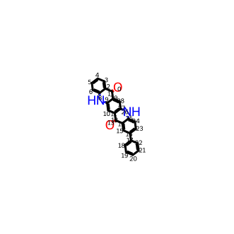 O=c1c2ccccc2[nH]c2cc3c(=O)c4cc(-c5ccccc5)ccc4[nH]c3cc12